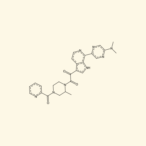 CC1CN(C(=O)c2ccccn2)CCN1C(=O)C(=O)c1c[nH]c2c(-c3cnc(N(C)C)cn3)nccc12